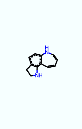 C1=CNc2ccc3c(c2C=C1)NCC3